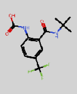 CC(C)(C)NC(=O)c1cc(C(F)(F)F)ccc1NC(=O)O